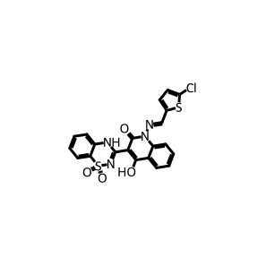 O=c1c(C2=NS(=O)(=O)c3ccccc3N2)c(O)c2ccccc2n1N=Cc1ccc(Cl)s1